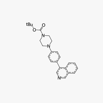 CC(C)(C)OC(=O)N1CCN(c2ccc(-c3cncc4ccccc34)cc2)CC1